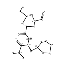 CCCC[C@H](CN(O)C=O)C(=O)N[C@@H](CC1CCCCC1)C(=O)N(C)C